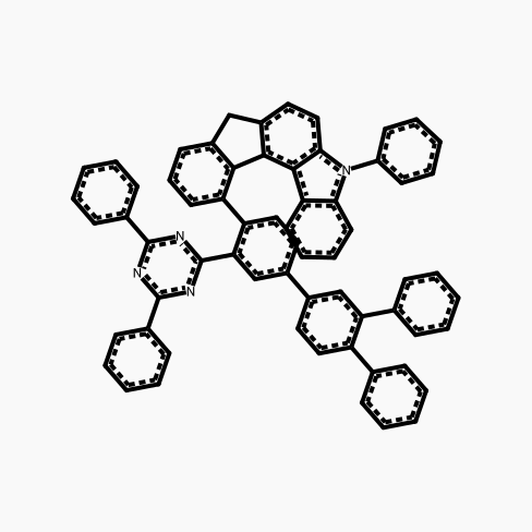 c1ccc(-c2nc(-c3ccccc3)nc(-c3cc(-c4ccc(-c5ccccc5)c(-c5ccccc5)c4)ccc3-c3cccc4c3-c3c(ccc5c3c3ccccc3n5-c3ccccc3)C4)n2)cc1